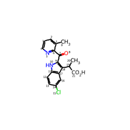 Cc1cccnc1C(=O)c1[nH]c2ccc(Cl)cc2c1C(C)C(=O)O